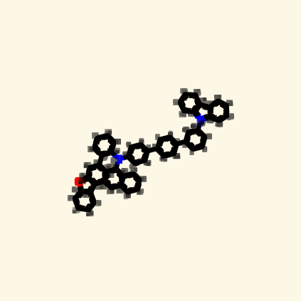 c1cc(-c2ccc(-c3ccc(N(c4ccccc4-c4ccc5c(c4)oc4ccccc45)c4cccc5ccccc45)cc3)cc2)cc(-n2c3ccccc3c3ccccc32)c1